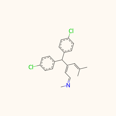 C/N=C\C=C(/C=C(C)C)C(c1ccc(Cl)cc1)c1ccc(Cl)cc1